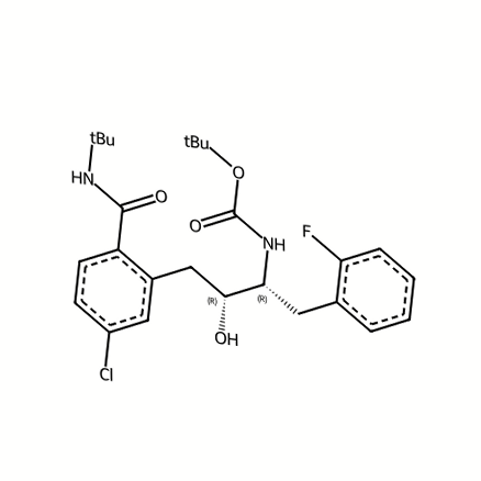 CC(C)(C)NC(=O)c1ccc(Cl)cc1C[C@@H](O)[C@@H](Cc1ccccc1F)NC(=O)OC(C)(C)C